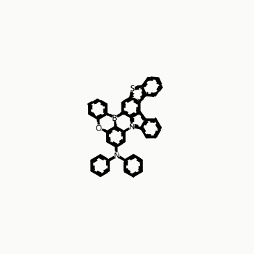 c1ccc(N(c2ccccc2)c2cc3c4c(c2)-n2c5ccccc5c5c6c(cc(c52)B4c2ccccc2O3)sc2ccccc26)cc1